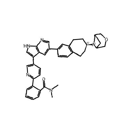 CN(C)C(=O)c1ccccc1-c1ccc(-c2c[nH]c3ncc(-c4ccc5c(c4)CC[C@@H](N4C6COCC4C6)CC5)cc23)cn1